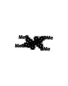 COc1ccc2cc(C3(c4ccc5cc(OC)ccc5c4)c4ccccc4-c4cc5c(cc43)-c3ccccc3C5(c3ccc4cc(OC)ccc4c3)c3ccc4cc(OC)ccc4c3)ccc2c1